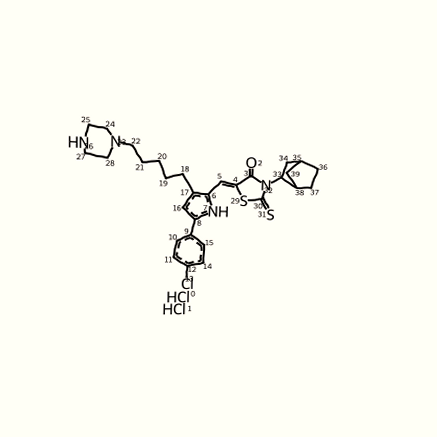 Cl.Cl.O=C1C(=Cc2[nH]c(-c3ccc(Cl)cc3)cc2CCCCCN2CCNCC2)SC(=S)N1C1CC2CCC1C2